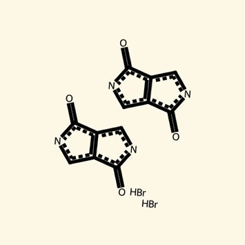 Br.Br.O=c1ncc2c(=O)ncc1=2.O=c1ncc2c(=O)ncc1=2